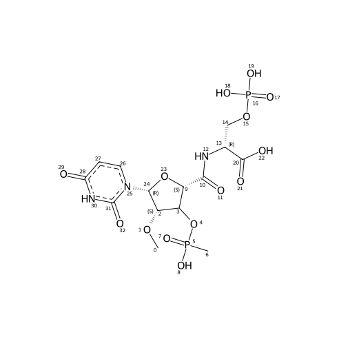 CO[C@H]1C(OP(C)(=O)O)[C@@H](C(=O)N[C@H](COP(=O)(O)O)C(=O)O)O[C@H]1n1ccc(=O)[nH]c1=O